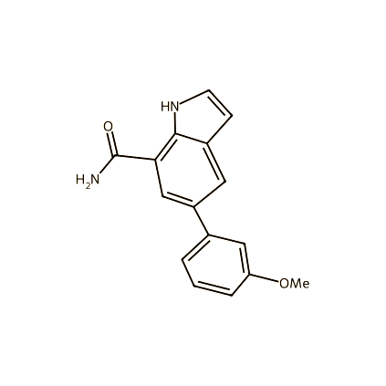 COc1cccc(-c2cc(C(N)=O)c3[nH]ccc3c2)c1